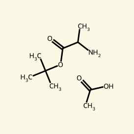 CC(=O)O.CC(N)C(=O)OC(C)(C)C